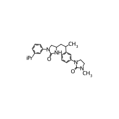 CC(C)c1cccc(N2CC(CC(C)c3cccc(N4CCN(C)C4=O)c3)NC2=O)c1